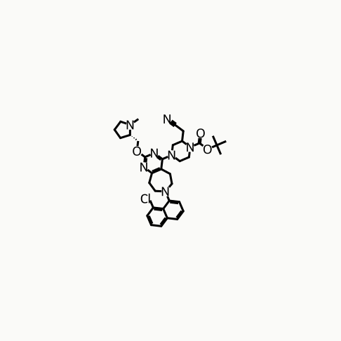 CN1CCC[C@H]1COc1nc2c(c(N3CCN(C(=O)OC(C)(C)C)C(CC#N)C3)n1)CCN(c1cccc3cccc(Cl)c13)CC2